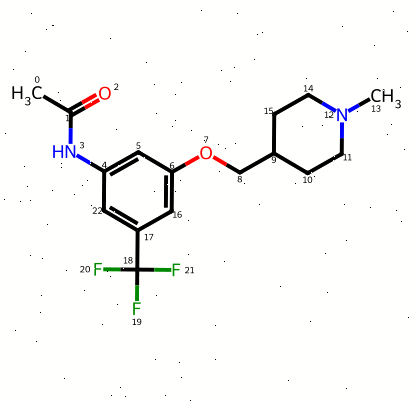 CC(=O)Nc1cc(OCC2CCN(C)CC2)cc(C(F)(F)F)c1